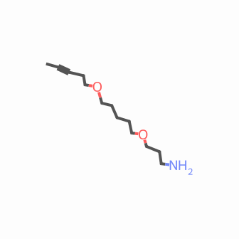 CC#CCCOCCCCCOCCCN